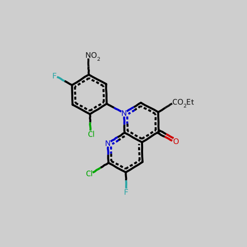 CCOC(=O)c1cn(-c2cc([N+](=O)[O-])c(F)cc2Cl)c2nc(Cl)c(F)cc2c1=O